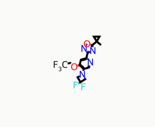 CC1(c2nc(-c3cc(OCC(F)(F)F)c(N4CC(F)(F)C4)cn3)no2)CC1